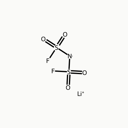 O=S(=O)(F)[N]S(=O)(=O)F.[Li+]